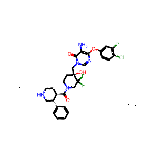 Nc1c(Oc2ccc(Cl)c(F)c2)ncn(C[C@@]2(O)CCN(C(=O)[C@@H]3CCNC[C@H]3c3ccccc3)CC2(F)F)c1=O